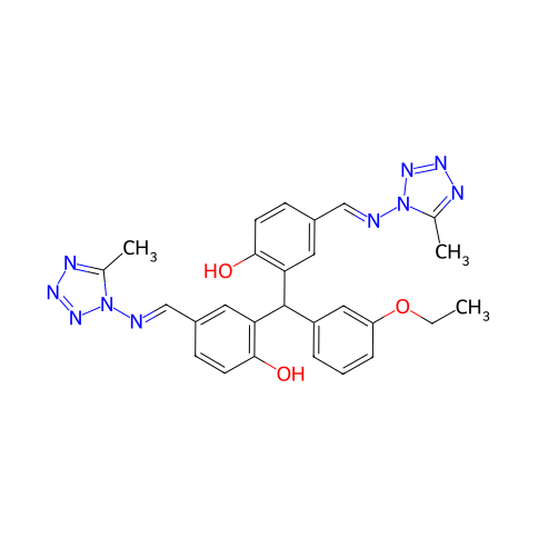 CCOc1cccc(C(c2cc(C=Nn3nnnc3C)ccc2O)c2cc(C=Nn3nnnc3C)ccc2O)c1